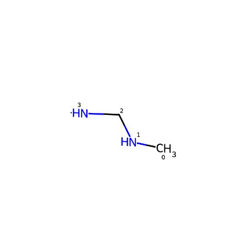 CNC[NH]